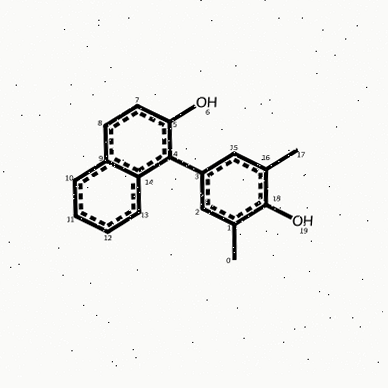 Cc1cc(-c2c(O)ccc3ccccc23)cc(C)c1O